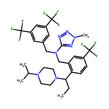 CCC(c1ccc(C(F)(F)F)cc1CN(Cc1cc(C(F)(F)F)cc(C(F)(F)F)c1)c1nnn(C)n1)N1CCN(C(C)C)CC1